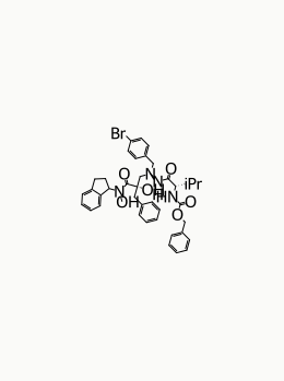 CC(C)[C@H](NC(=O)OCc1ccccc1)C(=O)NN(Cc1ccc(Br)cc1)C[C@@](O)(Cc1ccccc1)C(=O)N(O)C1CCc2ccccc21